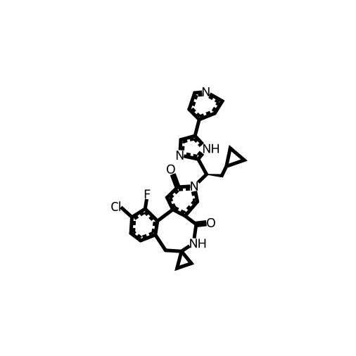 O=C1NC2(CC2)Cc2ccc(Cl)c(F)c2-c2cc(=O)n([C@H](CC3CC3)c3ncc(-c4ccncc4)[nH]3)cc21